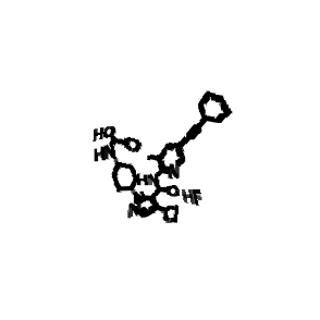 Cc1cc(C#Cc2ccccc2)cnc1NC(=O)c1c(Cl)cnn1[C@H]1CC[C@@H](NC(=O)O)CC1.F